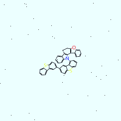 c1ccc2c3c(oc2c1)CCc1c-3n(-c2cccc3sc4ccc(-c5ccc6sc7ccccc7c6c5)cc4c23)c2ccccc12